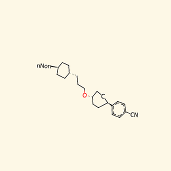 CCCCCCCCC[C@H]1CC[C@H](CCCO[C@H]2CC[C@H](c3ccc(C#N)cc3)CC2)CC1